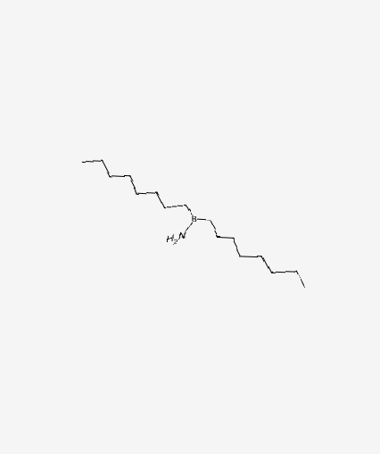 CCCCCCCCB(N)CCCCCCCC